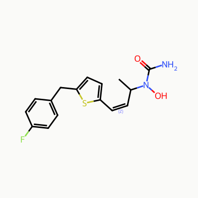 CC(/C=C\c1ccc(Cc2ccc(F)cc2)s1)N(O)C(N)=O